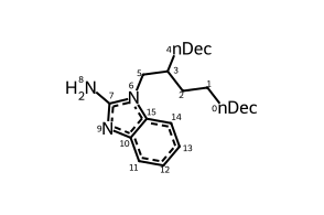 CCCCCCCCCCCCC(CCCCCCCCCC)Cn1c(N)nc2ccccc21